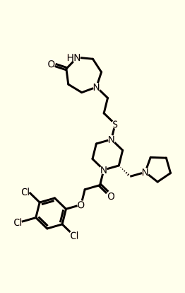 O=C1CCN(CCSN2CCN(C(=O)COc3cc(Cl)c(Cl)cc3Cl)[C@@H](CN3CCCC3)C2)CCN1